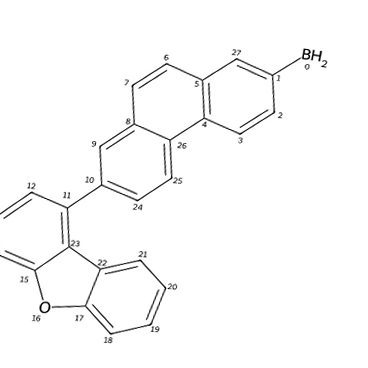 Bc1ccc2c(ccc3cc(-c4cccc5oc6ccccc6c45)ccc32)c1